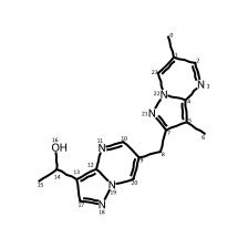 Cc1cnc2c(C)c(Cc3cnc4c(C(C)O)cnn4c3)nn2c1